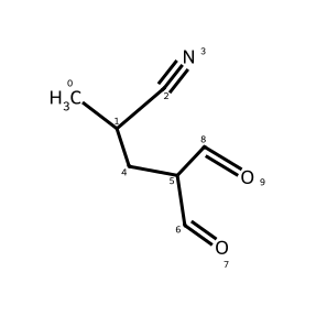 CC(C#N)CC(C=O)C=O